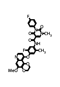 COc1cc2nccc(Oc3cc(C)c(NC(=O)c4cn(C)c(=O)n(-c5ccc(F)cc5)c4=O)cc3F)c2c2c1OCCO2